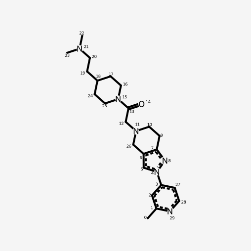 Cc1cc(-n2cc3c(n2)CCN(CC(=O)N2CCC(CCN(C)C)CC2)C3)ccn1